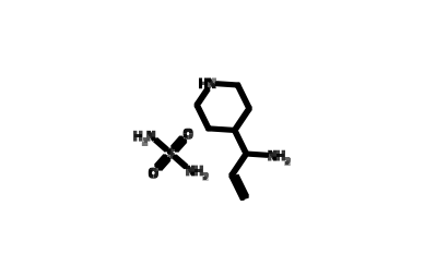 C=CC(N)C1CCNCC1.NS(N)(=O)=O